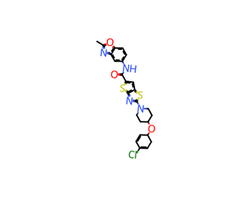 Cc1nc2cc(NC(=O)c3cc4sc(N5CCC(OC6C=CC(Cl)=CC6)CC5)nc4s3)ccc2o1